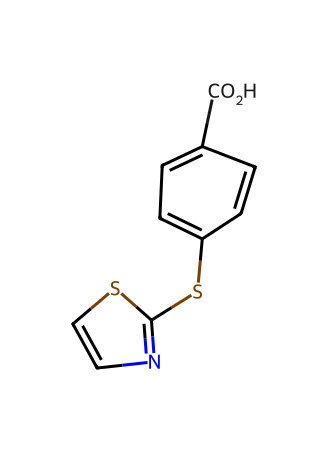 O=C(O)c1ccc(Sc2nccs2)cc1